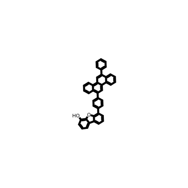 Oc1cccc2c1oc1c(-c3ccc(-c4cc5c6ccccc6c(-c6ccccc6)cc5c5ccccc45)cc3)cccc12